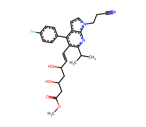 COC(=O)CC(O)CC(O)C=Cc1c(C(C)C)nc2c(ccn2CCC#N)c1-c1ccc(F)cc1